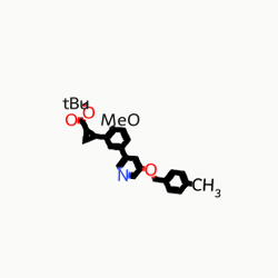 COc1ccc(-c2cncc(OCc3ccc(C)cc3)c2)cc1C1CC1C(=O)OC(C)(C)C